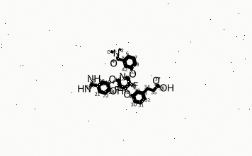 CN(C)C(=O)c1cccc(Oc2nc(Oc3cc(C(=N)N)ccc3O)c(F)c(Oc3cccc(CCC(=O)O)c3)c2F)c1